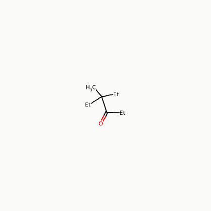 CCC(=O)C(C)(CC)CC